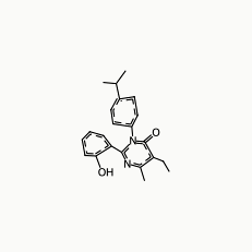 CCc1c(C)nc(-c2ccccc2O)n(-c2ccc(C(C)C)cc2)c1=O